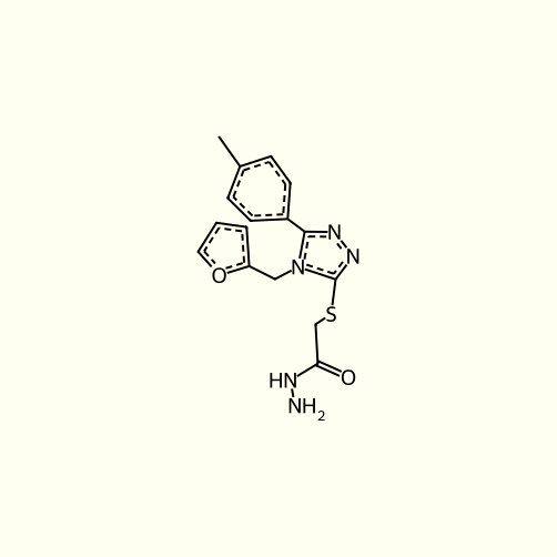 Cc1ccc(-c2nnc(SCC(=O)NN)n2Cc2ccco2)cc1